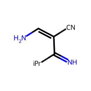 CC(C)C(=N)/C(C#N)=C\N